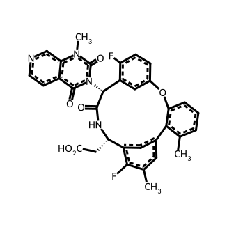 Cc1cc2cc(c1F)[C@H](CC(=O)O)NC(=O)[C@H](n1c(=O)c3ccncc3n(C)c1=O)c1cc(ccc1F)Oc1cccc(C)c1-2